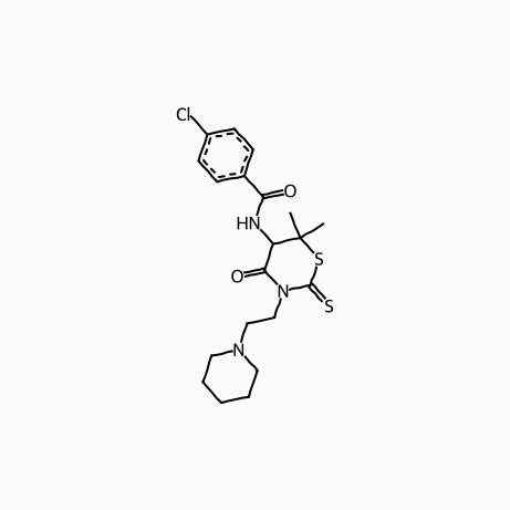 CC1(C)SC(=S)N(CCN2CCCCC2)C(=O)C1NC(=O)c1ccc(Cl)cc1